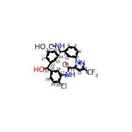 O=C(O)NCc1cccc(-n2nc(C(F)(F)F)cc2C(=O)Nc2cc(C(O)c3ccccc3)ccc2Cl)c1